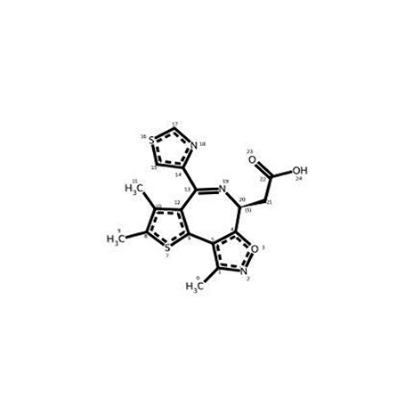 Cc1noc2c1-c1sc(C)c(C)c1C(c1cscn1)=N[C@H]2CC(=O)O